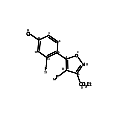 CCOC(=O)c1noc(-c2ccc(Cl)cc2F)c1F